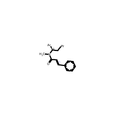 CC(=O)[C@@H](CC(C)C)N(C)C(=O)/C=C/c1ccccc1